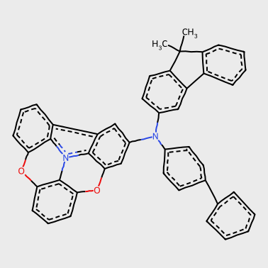 CC1(C)c2ccccc2-c2cc(N(c3ccc(-c4ccccc4)cc3)c3cc4c5c(c3)c3cccc6c3n5-c3c(cccc3O4)O6)ccc21